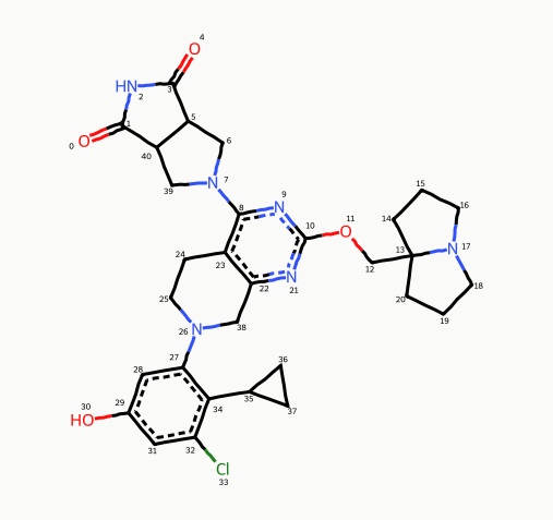 O=C1NC(=O)C2CN(c3nc(OCC45CCCN4CCC5)nc4c3CCN(c3cc(O)cc(Cl)c3C3CC3)C4)CC12